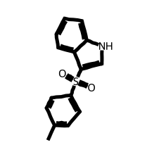 Cc1ccc(S(=O)(=O)c2c[nH]c3ccccc23)cc1